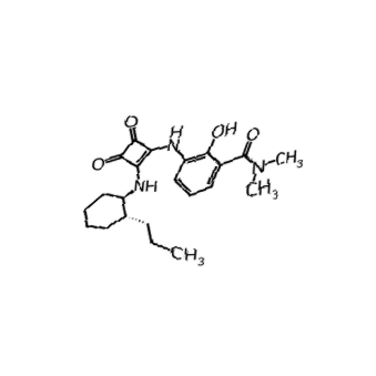 CCC[C@@H]1CCCC[C@H]1Nc1c(Nc2cccc(C(=O)N(C)C)c2O)c(=O)c1=O